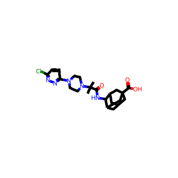 CC(C)(C(=O)NC1C2CC3CC1CC(C(=O)O)(C3)C2)N1CCN(c2ccc(Cl)nn2)CC1